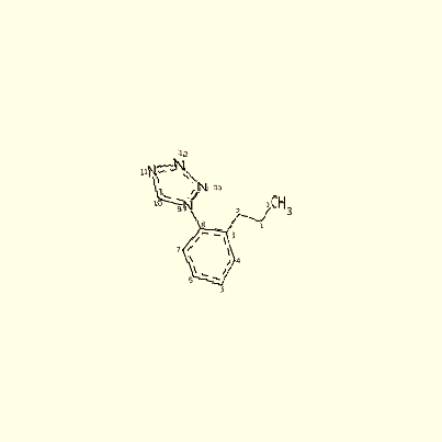 CCCc1ccccc1-n1cnnn1